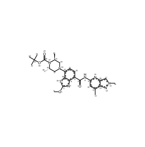 COc1nc2c(C(=O)Nc3cc(C)c4nn(C)cc4n3)ccc(N3C[C@H](C)N(C(=O)OC(C)(C)C)[C@@H](C)C3)c2s1